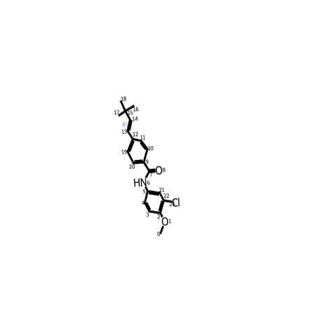 COc1ccc(NC(=O)c2ccc(/C=C/C(C)(C)C)cc2)cc1Cl